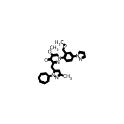 COCc1cc(-n2cccn2)ccc1-n1cc(OC)c(=O)c(Cc2cc(C)nn2C2=CC=CCC=C2)n1